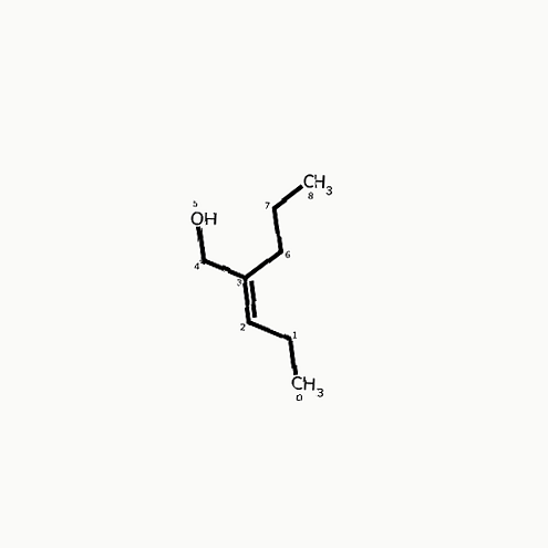 CC/C=C(/CO)CCC